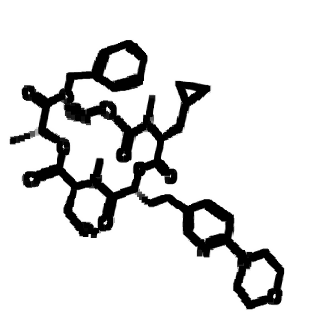 CC(C)C[C@@H](C(=O)O[C@H](C)C(=O)OCc1ccccc1)N(C)C(=O)[C@@H](CCc1ccc(N2CCOCC2)nc1)OC(=O)[C@H](CC1CC1)N(C)C(=O)OC(C)(C)C